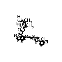 CCCC(C)(C)CC(C)(C)CCOC(=O)OCn1c(=O)ccc2ccc(OCCCCN3CCN(c4cccc(Cl)c4Cl)CC3)cc21